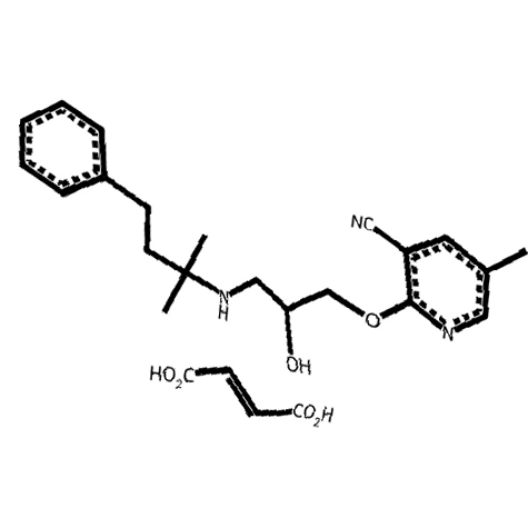 Cc1cnc(OCC(O)CNC(C)(C)CCc2ccccc2)c(C#N)c1.O=C(O)C=CC(=O)O